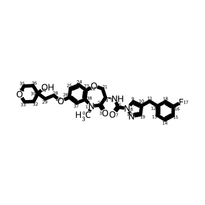 CN1C(=O)[C@@H](NC(=O)n2cc(Cc3cccc(F)c3)cn2)COc2ccc(OCCC3(O)CCOCC3)cc21